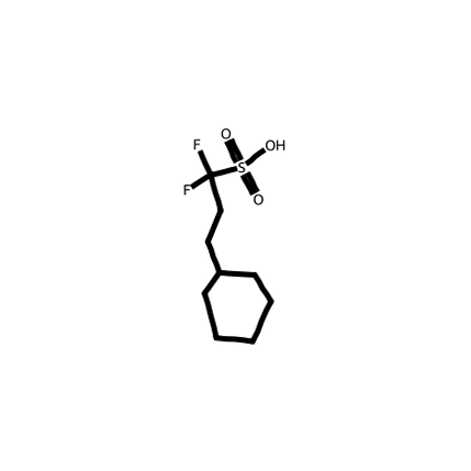 O=S(=O)(O)C(F)(F)CCC1CCCCC1